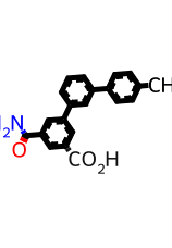 Cc1ccc(-c2cccc(-c3cc(C(N)=O)cc(C(=O)O)c3)c2)cc1